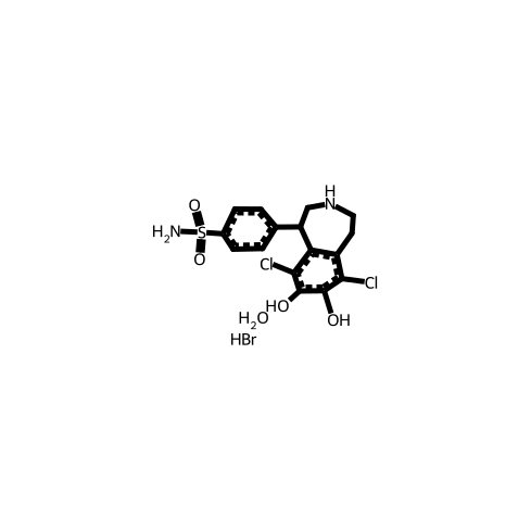 Br.NS(=O)(=O)c1ccc(C2CNCCc3c(Cl)c(O)c(O)c(Cl)c32)cc1.O